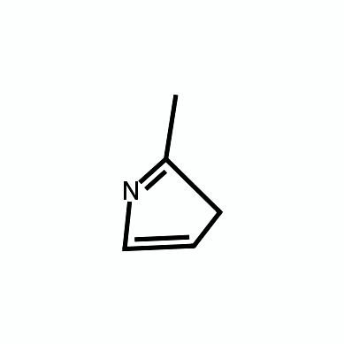 CC1=NC=CC1